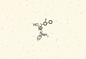 CC(c1ccc(-c2ccccc2)c(F)c1)c1cc(C/N=C(\N)N2CCOCC2)no1.Cl